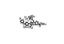 COC(=O)c1[nH]c(C(CCO[Si](C)(C)C(C)(C)C)C2CCN(C(=O)OC(C)(C)C)CC2)nc1-c1ccc(Oc2ccc(F)cc2)cc1